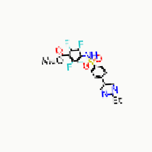 CCc1ncc(-c2ccc(S(=O)(=O)Nc3c(F)c(F)c(C(=O)OC)c(F)c3F)cc2)cn1